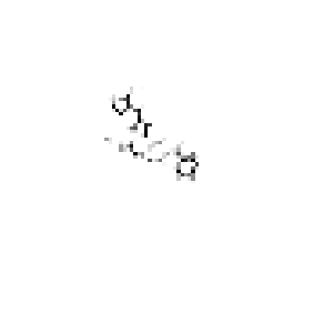 C/C(=C1/C=CNC1=N)c1ccn(C(CC#N)CN2CCN(C(=O)c3ccc(C#N)cc3F)CC2)c1